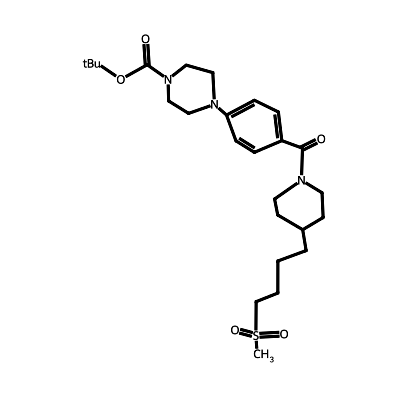 CC(C)(C)OC(=O)N1CCN(c2ccc(C(=O)N3CCC(CCCCS(C)(=O)=O)CC3)cc2)CC1